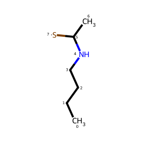 CCCCNC(C)[S]